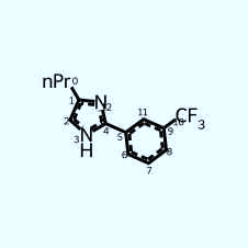 CCCc1c[nH]c(-c2cccc(C(F)(F)F)c2)n1